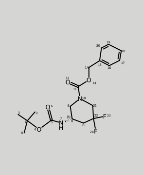 CC(C)(C)OC(=O)N[C@@H]1CN(C(=O)OCc2ccccc2)CC(F)(F)C1